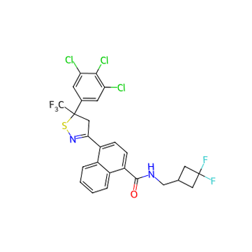 O=C(NCC1CC(F)(F)C1)c1ccc(C2=NSC(c3cc(Cl)c(Cl)c(Cl)c3)(C(F)(F)F)C2)c2ccccc12